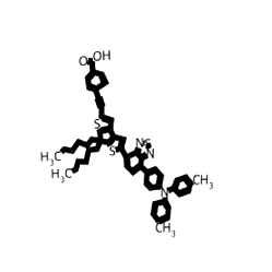 CCCCCCC1(CCCCCC)c2sc(C#Cc3ccc(C(=O)O)cc3)cc2-c2cc(-c3ccc(-c4ccc(N(c5ccc(C)cc5)c5ccc(C)cc5)cc4)c4nsnc34)sc21